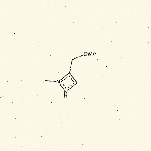 COCc1c[nH]n1C